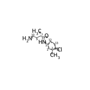 Cc1cc(NC(=O)[C@@H](C)CCN)ccc1Cl